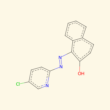 Oc1ccc2ccccc2c1/N=N/c1ccc(Cl)cn1